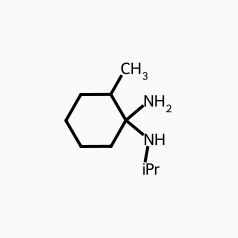 CC(C)NC1(N)CCCCC1C